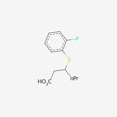 CCCC(CC(=O)O)Sc1ccccc1F